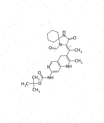 CC1=C(/C(C)=C2/C(=O)NC3(CCCCC3)N2C=O)Cc2cnc(NC(=O)OC(C)(C)C)cc2N1